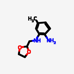 Cc1ccc(N)c(NCC2OCCO2)c1